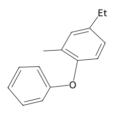 CCc1ccc(Oc2ccccc2)c(C)c1